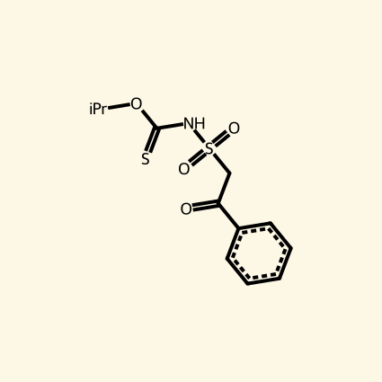 CC(C)OC(=S)NS(=O)(=O)CC(=O)c1ccccc1